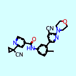 Cc1ccc(NC(=O)c2ccnc(C3(C#N)CC3)c2)cc1-c1cnc(N2CCOCC2)c(C#N)c1